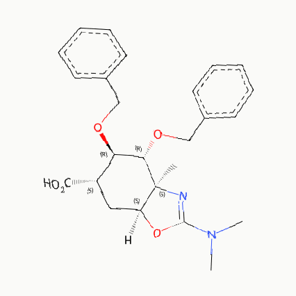 CN(C)C1=N[C@@]2(C)[C@H](C[C@H](C(=O)O)[C@@H](OCc3ccccc3)[C@@H]2OCc2ccccc2)O1